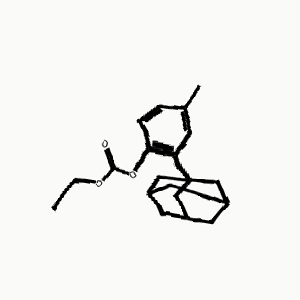 CCOC(=O)Oc1ccc(C)cc1C12CC3CC(CC(C3)C1)C2